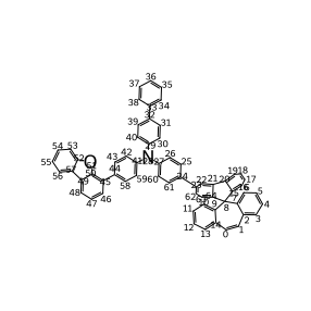 C1=Cc2ccccc2C2(c3ccccc31)c1ccccc1-c1cc(-c3ccc(N(c4ccc(-c5ccccc5)cc4)c4ccc(-c5cccc6c5oc5ccccc56)cc4)cc3)ccc12